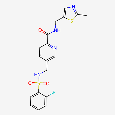 Cc1ncc(CNC(=O)c2ccc(CNS(=O)(=O)c3ccccc3F)cn2)s1